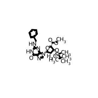 COC(=O)[C@H]1O[C@@H](n2cnc3c(=O)[nH]c(NCc4ccccc4)nc32)C[C@@H]1O[Si](C)(C)C(C)(C)C